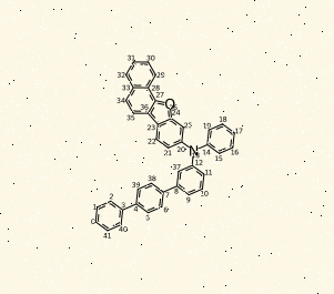 c1ccc(-c2ccc(-c3cccc(N(c4ccccc4)c4ccc5c(c4)oc4c6ccccc6ccc54)c3)cc2)cc1